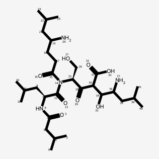 CC(C)CC(=O)N[C@@H](CC(C)C)C(=O)N(C(=O)CCC(N)CC(C)C)[C@@H](CO)C(=O)C(C(=O)O)C(O)C(N)CC(C)C